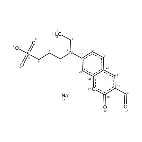 CCN(CCCS(=O)(=O)[O-])c1ccc2cc(C=O)c(=O)oc2c1.[Na+]